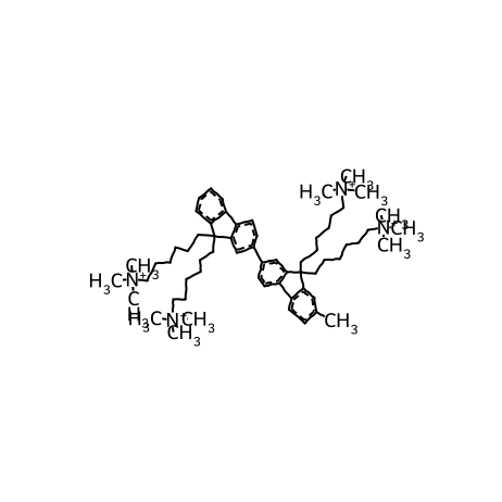 Cc1ccc2c(c1)C(CCCCCC[N+](C)(C)C)(CCCCCC[N+](C)(C)C)c1cc(-c3ccc4c(c3)C(CCCCCC[N+](C)(C)C)(CCCCCC[N+](C)(C)C)c3ccccc3-4)ccc1-2